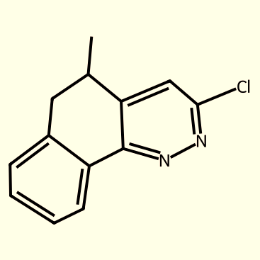 CC1Cc2ccccc2-c2nnc(Cl)cc21